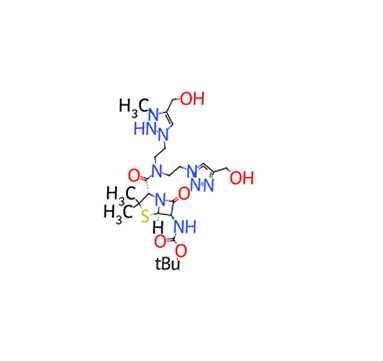 CN1NN(CCN(CCn2cc(CO)nn2)C(=O)[C@@H]2N3C(=O)[C@@H](NC(=O)OC(C)(C)C)[C@H]3SC2(C)C)C=C1CO